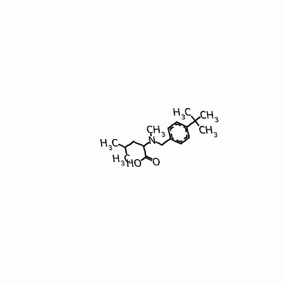 CC(C)CC(C(=O)O)N(C)Cc1ccc(C(C)(C)C)cc1